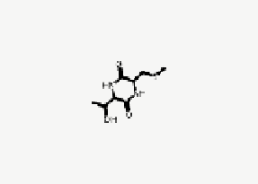 CSCC1NC(=O)C(C(C)O)NC1=O